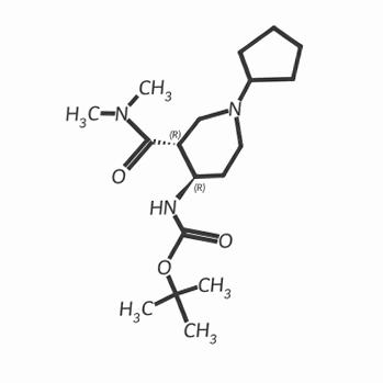 CN(C)C(=O)[C@@H]1CN(C2CCCC2)CC[C@H]1NC(=O)OC(C)(C)C